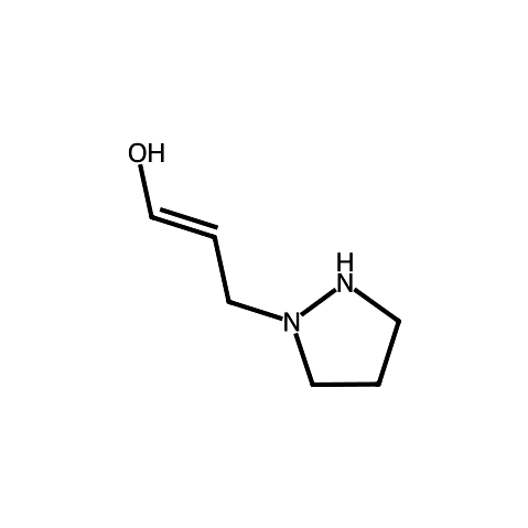 OC=CCN1CCCN1